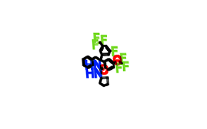 O=C(NC1CCCC1)NC(Cc1ccccc1)(c1cccc(OC(F)(F)F)c1)c1cc(F)cc(C(F)(F)F)c1